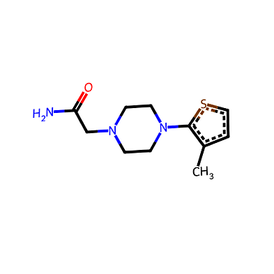 Cc1ccsc1N1CCN(CC(N)=O)CC1